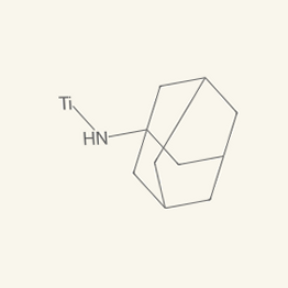 [Ti][NH]C12CC3CC(CC(C3)C1)C2